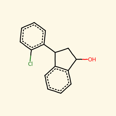 OC1CC(c2ccccc2Cl)c2ccccc21